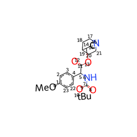 COc1ccc(C(NC(=O)OC(C)(C)C)C(=O)OC2CN3CCC2CC3)cc1